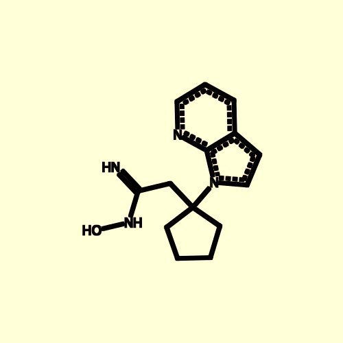 N=C(CC1(n2ccc3cccnc32)CCCC1)NO